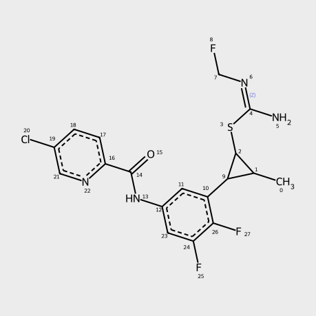 CC1C(S/C(N)=N\CF)C1c1cc(NC(=O)c2ccc(Cl)cn2)cc(F)c1F